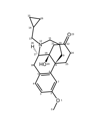 COc1ccc2c(c1)[C@]13CCCN(CC4CC4)[C@H](C2)[C@]1(O)CC(=O)CC3